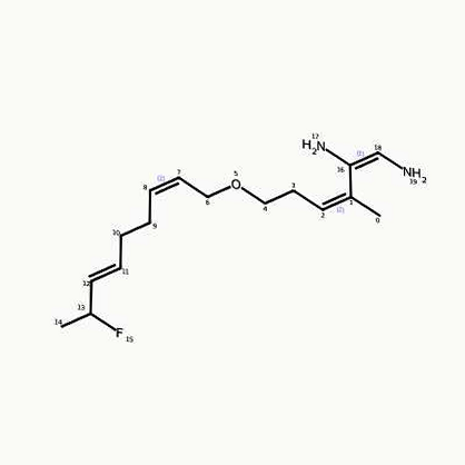 CC(=C/CCOC/C=C\CCC=CC(C)F)/C(N)=C\N